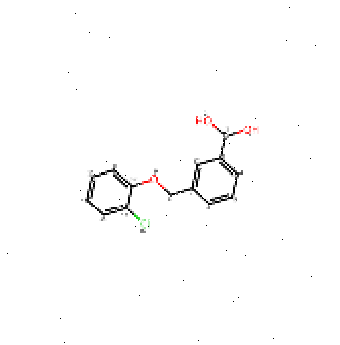 OB(O)c1cccc(COc2ccccc2Cl)c1